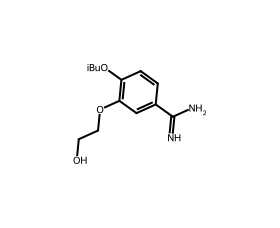 CC(C)COc1ccc(C(=N)N)cc1OCCO